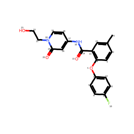 Cc1ccc(Oc2ccc(F)cc2)c(C(=O)Nc2ccn(CCO)c(=O)c2)c1